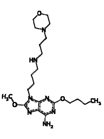 CCCCOc1nc(N)c2nc(OC)n(CCCCNCCCN3CCOCC3)c2n1